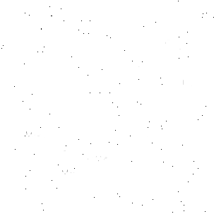 B.C=C(C)C(=O)OCCC[Si](OC)(OC)OC